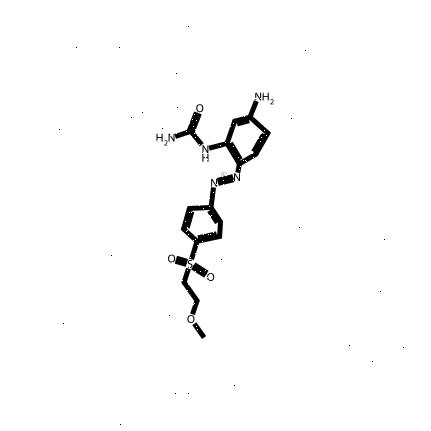 COCCS(=O)(=O)c1ccc(/N=N/c2ccc(N)cc2NC(N)=O)cc1